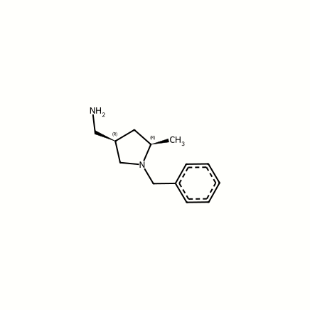 C[C@@H]1C[C@H](CN)CN1Cc1ccccc1